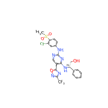 CS(=O)(=O)c1ccc(Nc2ncc(-c3nc(C(F)(F)F)no3)c(N[C@H](CO)c3ccccc3)n2)cc1Cl